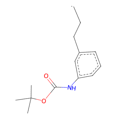 [CH2]CCc1cccc(NC(=O)OC(C)(C)C)c1